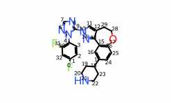 Fc1ccc(-n2ncnc2-n2cc3c(n2)-c2cc(C4CCNCC4)ccc2OCC3)c(F)c1